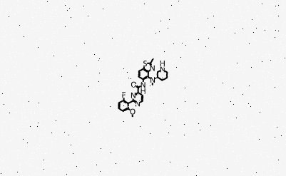 COc1cccc(F)c1-c1nccc(C(=O)Nc2ccc3sc(C)nc3c2N(C)[C@@H]2CCCNC2)n1